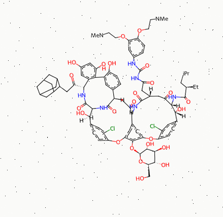 CC[C@H](CC(C)C)C(=O)N[C@H]1C(=O)C[C@@H](CC(=O)NC(=O)Nc2ccc(OCCNC)c(OCCNC)c2)C(=O)N[C@H]2C(=O)C[C@H]3C(=O)N[C@H](C(=O)N[C@H](C(=O)CC4C5CC6CC(C5)CC4C6)c4cc(O)cc(O)c4-c4cc3ccc4O)[C@H](O)c3ccc(c(Cl)c3)Oc3cc2cc(c3O[C@@H]2O[C@H](CO)[C@@H](O)[C@H](O)[C@H]2O)Oc2ccc(cc2Cl)[C@H]1O